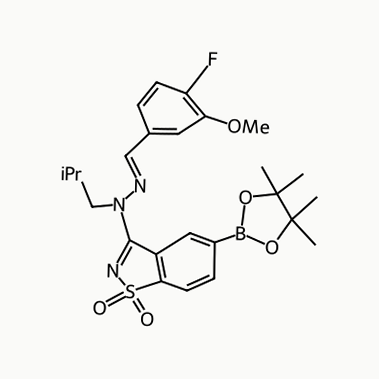 COc1cc(/C=N/N(CC(C)C)C2=NS(=O)(=O)c3ccc(B4OC(C)(C)C(C)(C)O4)cc32)ccc1F